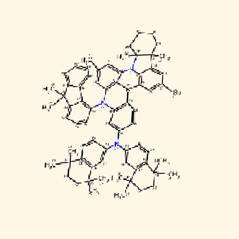 Cc1cc2c3c(c1)N1c4c(cc(C(C)(C)C)cc4C4(C)CCCCC14C)B3c1ccc(N(c3ccc4c(c3)C(C)(C)CCC4(C)C)c3ccc4c(c3)C(C)(C)CCC4(C)C)cc1N2c1cccc2c1-c1ccccc1C2(C)C